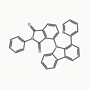 O=C1c2cccc(-n3c4ccccc4c4cccc(-c5ccccn5)c43)c2C(=O)N1c1ccccc1